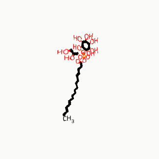 CCCCCCCCCCCCCCCCCC(=O)OP(=O)(OCC(O)CO)O[C@]1(O)[C@H](O)[C@H](O)[C@@H](O)[C@H](O)[C@H]1O